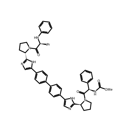 COC(=O)N[C@@H](C(=O)N1CCC[C@H]1c1ncc(-c2ccc(-c3ccc(-c4cnc([C@@H]5CCCN5C(=O)[C@@H](Nc5ccccc5)C(C)C)[nH]4)cc3)cc2)[nH]1)c1ccccc1